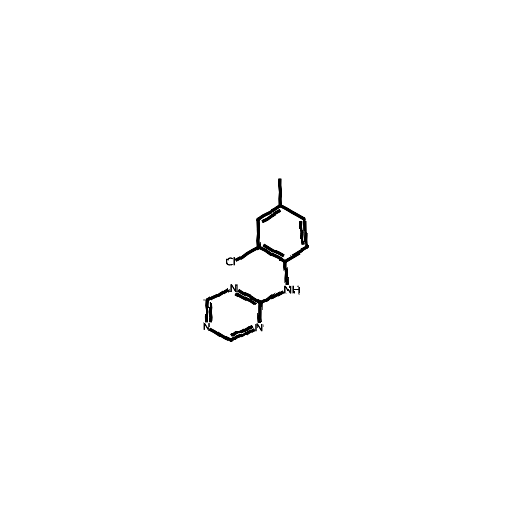 Cc1ccc(Nc2n[c]ncn2)c(Cl)c1